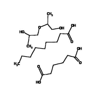 CC(O)COC(C)CO.CCCCCCCCC(=O)O.O=C(O)CCCCC(=O)O